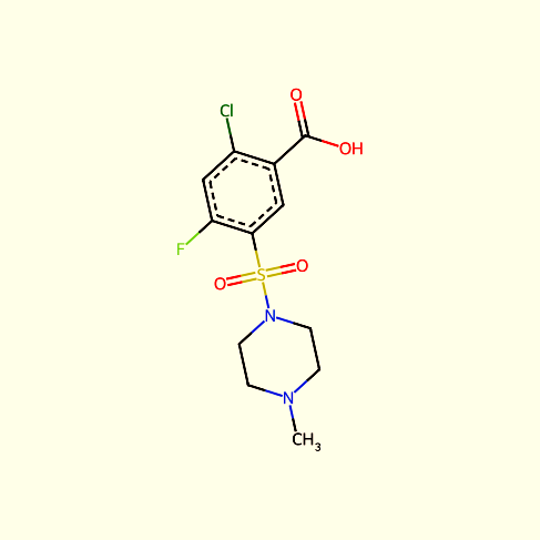 CN1CCN(S(=O)(=O)c2cc(C(=O)O)c(Cl)cc2F)CC1